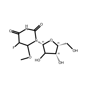 COC1C(F)C(=O)NC(=O)N1[C@@H]1O[C@H](CO)[C@H](O)C1O